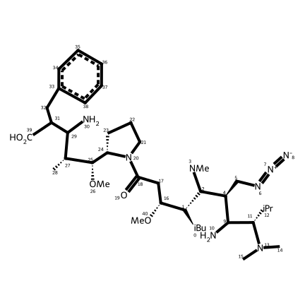 CC[C@H](C)[C@@H](C(NC)[C@@H](CN=[N+]=[N-])C(N)[C@H](C(C)C)N(C)C)[C@@H](CC(=O)N1CCC[C@H]1[C@H](OC)[C@H](C)C(N)C(Cc1ccccc1)C(=O)O)OC